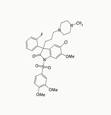 COc1cc2c(cc1Cl)C(CCCN1CCN(C)CC1)(c1ccccc1F)C(=O)N2S(=O)(=O)c1ccc(OC)c(OC)c1